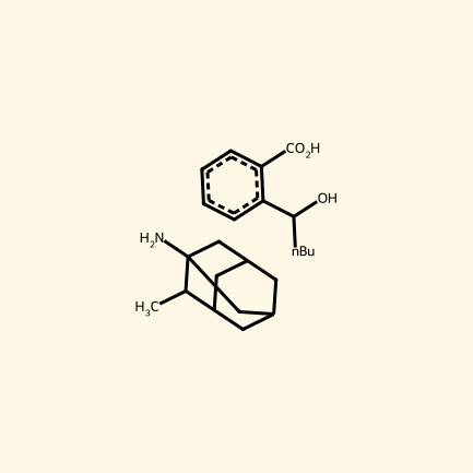 CC1C2CC3CC(C2)CC1(N)C3.CCCCC(O)c1ccccc1C(=O)O